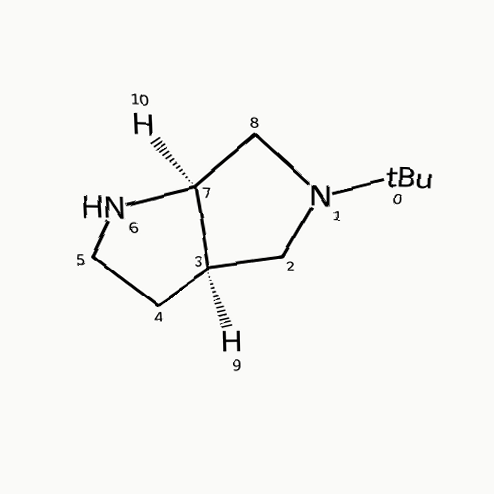 CC(C)(C)N1C[C@H]2CCN[C@H]2C1